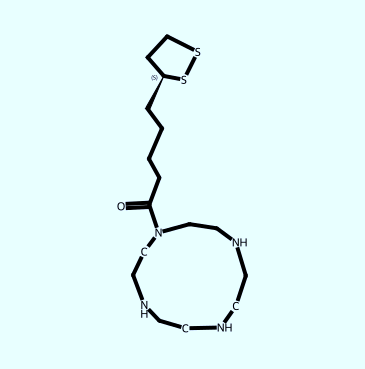 O=C(CCCC[C@H]1CCSS1)N1CCNCCNCCNCC1